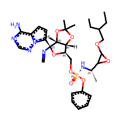 C=N[C@@]1(c2ccc3c(N)ncnn23)O[C@H](CO[P@@](=O)(N[C@@H](C)C2OC2OCC(CC)CC)Oc2ccccc2)[C@H]2OC(C)(C)O[C@H]21